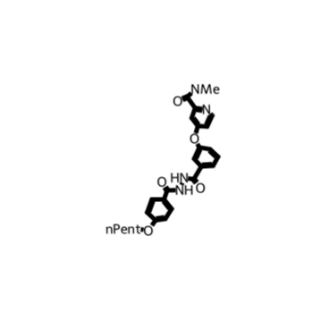 CCCCCOc1ccc(C(=O)NNC(=O)c2cccc(Oc3ccnc(C(=O)NC)c3)c2)cc1